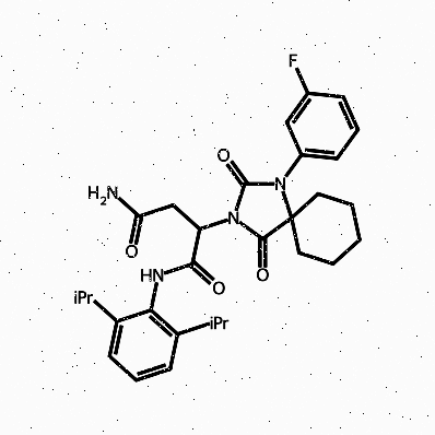 CC(C)c1cccc(C(C)C)c1NC(=O)C(CC(N)=O)N1C(=O)N(c2cccc(F)c2)C2(CCCCC2)C1=O